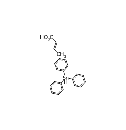 CC=CC(=O)O.c1cc[c]([SnH]([c]2ccccc2)[c]2ccccc2)cc1